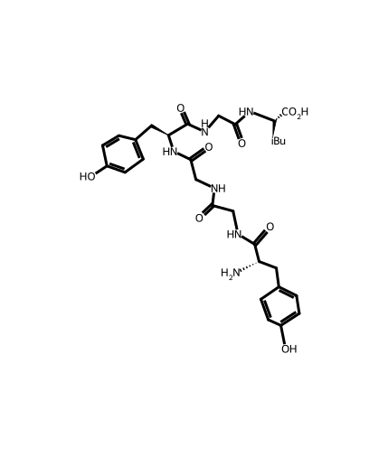 CC[C@H](C)[C@H](NC(=O)CNC(=O)[C@H](Cc1ccc(O)cc1)NC(=O)CNC(=O)CNC(=O)[C@@H](N)Cc1ccc(O)cc1)C(=O)O